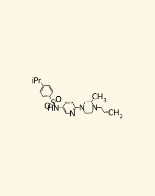 C=CCN1CCN(c2ccc(NS(=O)(=O)c3ccc(C(C)C)cc3)cn2)CC1C